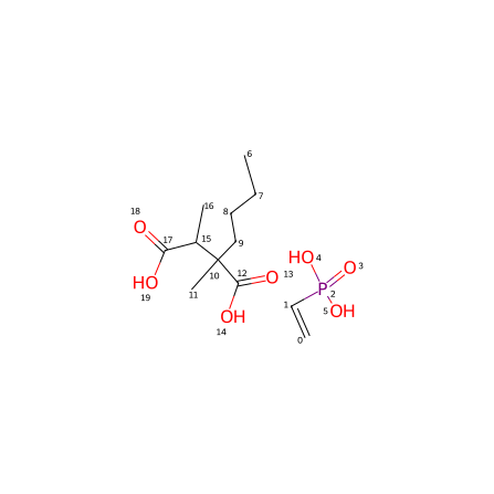 C=CP(=O)(O)O.CCCCC(C)(C(=O)O)C(C)C(=O)O